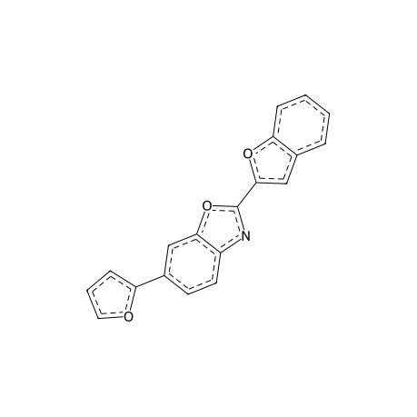 c1coc(-c2ccc3nc(-c4cc5ccccc5o4)oc3c2)c1